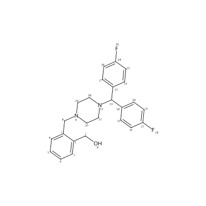 OCc1ccccc1CN1CCN(C(c2ccc(F)cc2)c2ccc(F)cc2)CC1